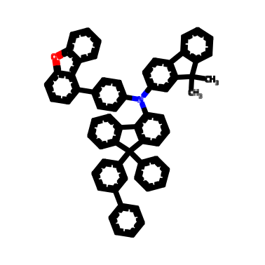 CC1(C)c2ccccc2-c2ccc(N(c3ccc(-c4cccc5oc6ccccc6c45)cc3)c3cccc4c3-c3ccccc3C4(c3ccccc3)c3cccc(-c4ccccc4)c3)cc21